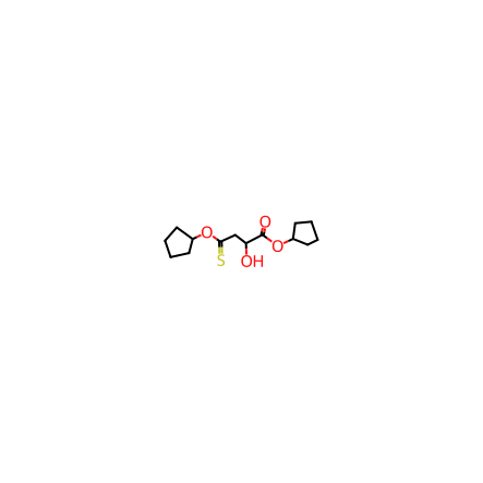 O=C(OC1CCCC1)C(O)CC(=S)OC1CCCC1